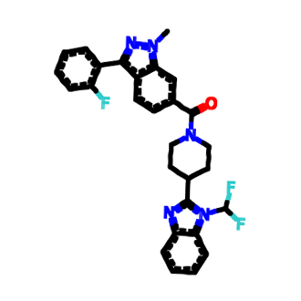 Cn1nc(-c2ccccc2F)c2ccc(C(=O)N3CCC(c4nc5ccccc5n4C(F)F)CC3)cc21